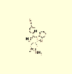 C[C@@H](c1ccc(C#N)cn1)n1c(N2CC[C@@H](F)[C@H](N)C2)nc2ccccc21